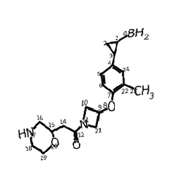 BC1CC1c1ccc(OC2CN(C(=O)CC3CNCCO3)C2)c(C)c1